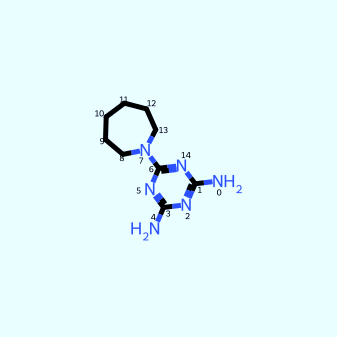 Nc1nc(N)nc(N2CCCCCC2)n1